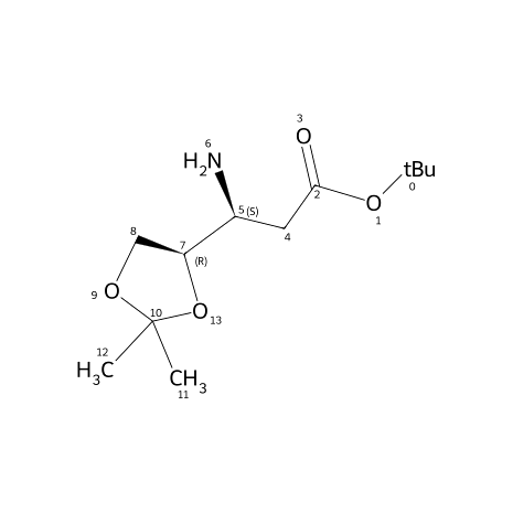 CC(C)(C)OC(=O)C[C@H](N)[C@@H]1COC(C)(C)O1